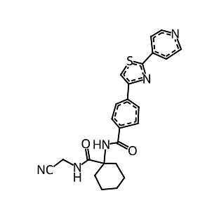 N#CCNC(=O)C1(NC(=O)c2ccc(-c3csc(-c4ccncc4)n3)cc2)CCCCC1